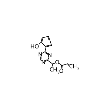 C=CC(=O)OC(C)c1ncnc(-c2ccccc2O)n1